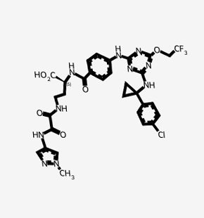 Cn1cc(NC(=O)C(=O)NCC[C@H](NC(=O)c2ccc(Nc3nc(NC4(c5ccc(Cl)cc5)CC4)nc(OCC(F)(F)F)n3)cc2)C(=O)O)cn1